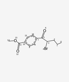 CCCC(Br)C(=O)c1ccc(C(=O)OC)cc1